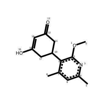 COc1nc(C)cc(C)c1C1CC(=O)C=C(O)C1